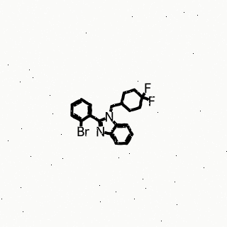 FC1(F)CCC(Cn2c(-c3ccccc3Br)nc3ccccc32)CC1